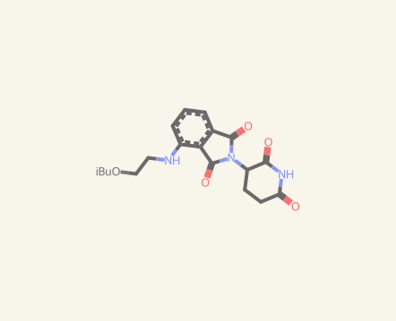 CC(C)COCCNc1cccc2c1C(=O)N(C1CCC(=O)NC1=O)C2=O